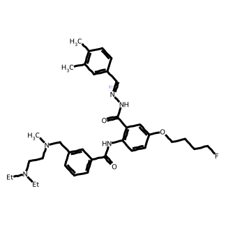 CCN(CC)CCN(C)Cc1cccc(C(=O)Nc2ccc(OCCCCF)cc2C(=O)N/N=C/c2ccc(C)c(C)c2)c1